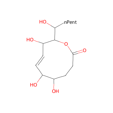 CCCCCC(O)C1OC(=O)CCC(O)C(O)/C=C/C1O